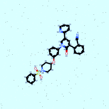 N#Cc1ccccc1-c1cc(-c2ccccn2)cn(-c2cccc(OC3CCN(S(=O)(=O)c4ccccc4)CC3)c2)c1=O